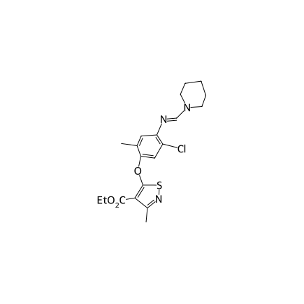 CCOC(=O)c1c(C)nsc1Oc1cc(Cl)c(/N=C/N2CCCCC2)cc1C